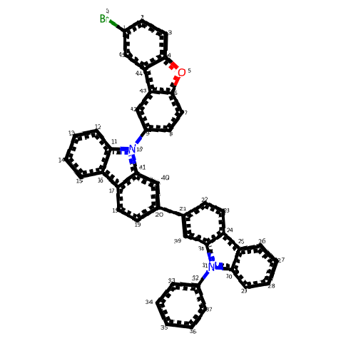 Brc1ccc2oc3ccc(-n4c5ccccc5c5ccc(-c6ccc7c8ccccc8n(-c8ccccc8)c7c6)cc54)cc3c2c1